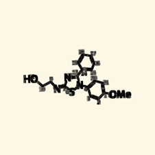 COc1ccc(-n2sc(=NCCO)nc2-c2ccccc2)cc1